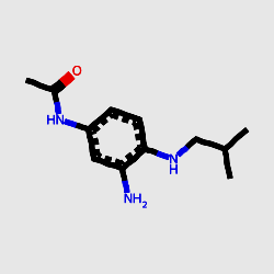 CC(=O)Nc1ccc(NCC(C)C)c(N)c1